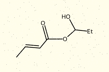 [CH2]CC(O)OC(=O)C=CC